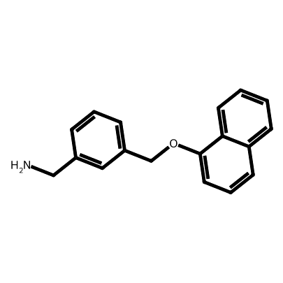 NCc1cccc(COc2cccc3ccccc23)c1